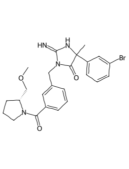 COC[C@H]1CCCN1C(=O)c1cccc(CN2C(=N)NC(C)(c3cccc(Br)c3)C2=O)c1